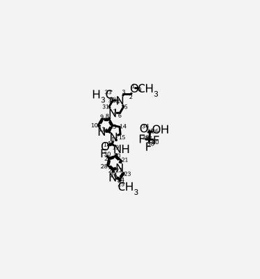 COCCN1CCN(c2ccnc3c2CCN3C(=O)Nc2cn3cc(C)nc3cc2F)C[C@@H]1C.O=C(O)C(F)(F)F